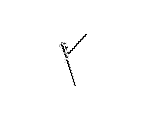 CCCCCCCCCCCCCCCCCC(=O)OCC(CNC(=O)C(CCC(=O)O)N=O)OC(=O)CCCCCCCCCCCCCCCCC